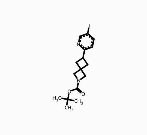 CC(C)(C)OC(=O)N1CC2(CC(c3ccc(I)cn3)C2)C1